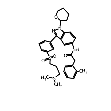 Cc1ccccc1CC(=O)Nc1ccc2c(c1)c(-c1cccc(S(=O)(=O)CCCN(C)C)c1)nn2C1CCCCO1